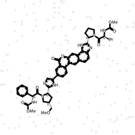 COC[C@H]1C[C@@H](c2ncc(-c3ccc4c(c3)c(=O)oc3cc5c(ccc6nc([C@@H]7CCCN7C(=O)[C@@H](NC(=O)OC)C(C)C)[nH]c65)cc34)[nH]2)N(C(=O)[C@H](NC(=O)OC)c2ccccc2)C1